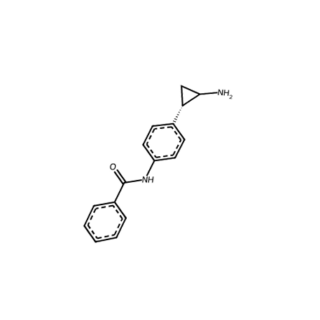 NC1C[C@H]1c1ccc(NC(=O)c2ccccc2)cc1